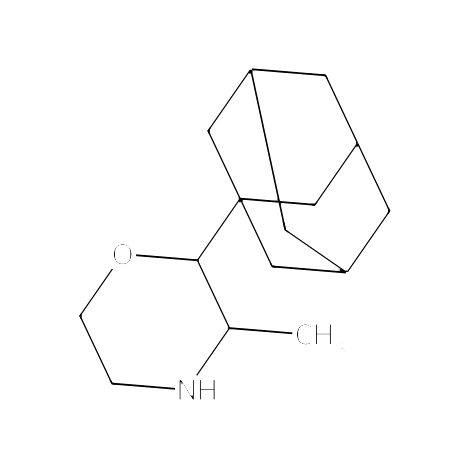 CC1NCCOC1C12CC3CC(CC(C3)C1)C2